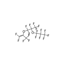 FC(F)=C(OC(F)(F)C(F)(OC(F)(F)C(F)(F)C(F)(F)F)C(F)(F)F)C(F)(F)F